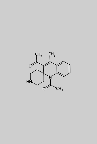 CC(=O)C1=C(C)c2ccccc2N(C(C)=O)C12CCNCC2